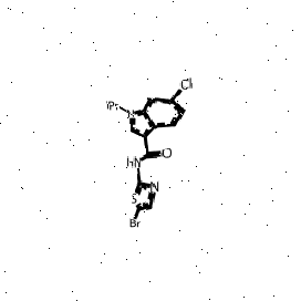 CC(C)n1cc(C(=O)Nc2ncc(Br)s2)c2ccc(Cl)cc21